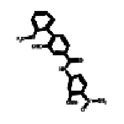 COc1cc(NC(=O)c2ccc(-c3ccccc3OC(F)(F)F)c(C=O)c2)ccc1[S+](N)[O-]